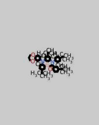 Cc1cc(C(C)(C)C)cc(C)c1N1c2cc(C(C)(C)C)cc3c2B(c2cc(C(C)(C)C)ccc2N3c2c(C)cc3c(c2C)OCCCO3)c2oc3ccc(C(C)(C)C)cc3c21